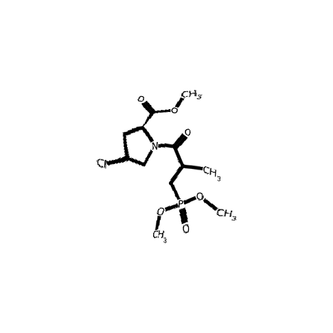 COC(=O)[C@@H]1CC(Cl)CN1C(=O)C(C)CP(=O)(OC)OC